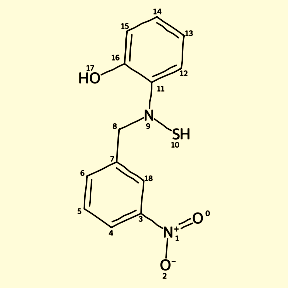 O=[N+]([O-])c1cccc(CN(S)c2ccccc2O)c1